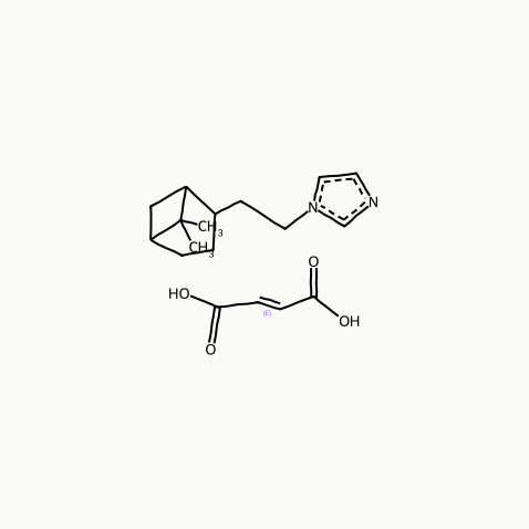 CC1(C)C2CCC(CCn3ccnc3)C1C2.O=C(O)/C=C/C(=O)O